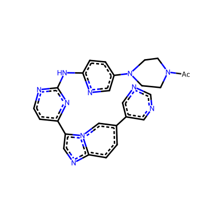 CC(=O)N1CCN(c2ccc(Nc3nccc(-c4cnc5ccc(-c6cncnc6)cn45)n3)nc2)CC1